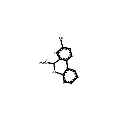 CNC1Oc2ccccc2-c2ccc(O)cc21